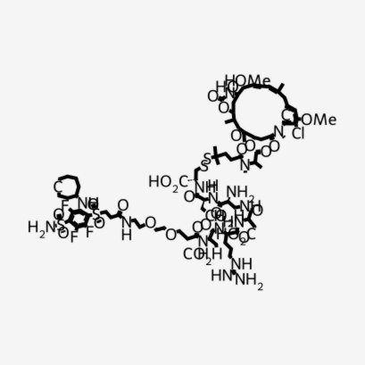 COc1cc2cc(c1Cl)N(C)C(=O)CC(OC(=O)C(C)N(C)C(=O)CCC(C)(C)SSC[C@H](NC(=O)[C@H](CC(=O)O)NC(=O)[C@@H](N)CNC(=O)C(CC(=O)O)NC(=O)C(CCCNC(=N)N)NC(=O)C(CC(=O)O)NC(=O)CCOCCOCCNC(=O)CCS(=O)(=O)c1c(F)c(F)c(S(N)(=O)=O)c(F)c1NC1CCCCCCC1)C(=O)O)C1(C)OC1C(C)C1CC(O)(NC(=O)O1)C(OC)/C=C/C=C(/C)C2